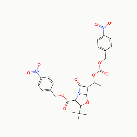 CC(OC(=O)OCc1ccc([N+](=O)[O-])cc1)C1C(=O)N2C1OC(C(C)(C)C)C2C(=O)OCc1ccc([N+](=O)[O-])cc1